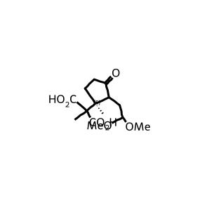 COC(CC1C(=O)CC[C@]1(C)C(C)(C(=O)O)C(=O)O)OC